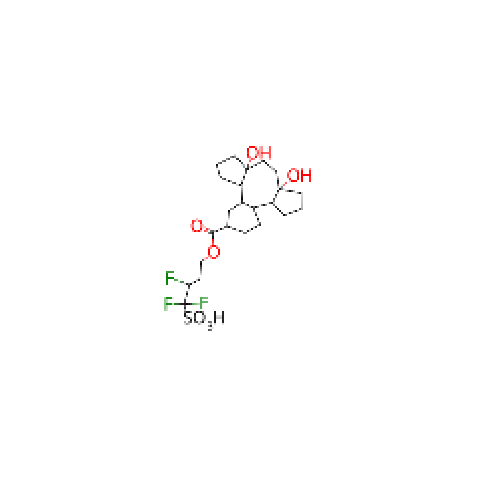 O=C(OCCC(F)C(F)(F)S(=O)(=O)O)C1CCC2C(C1)C1CCCC1(O)CCC1(O)CCCC21